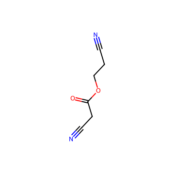 N#CCCOC(=O)CC#N